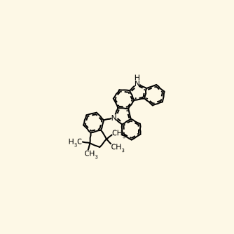 CC1(C)CC(C)(C)c2c(-n3c4ccccc4c4c5c(ccc43)[nH]c3ccccc35)cccc21